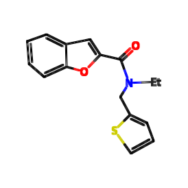 CCN(Cc1cccs1)C(=O)c1cc2ccccc2o1